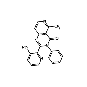 O=c1c2c(C(F)(F)F)nccc2nc(-c2ncccc2O)n1-c1ccccc1